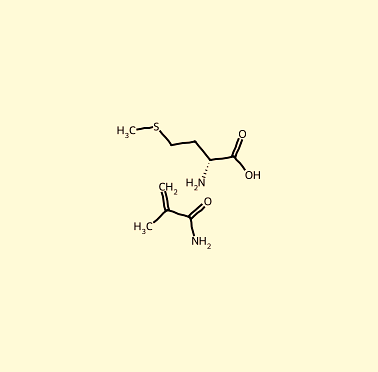 C=C(C)C(N)=O.CSCC[C@@H](N)C(=O)O